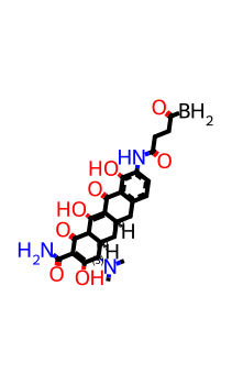 BC(=O)CCC(=O)Nc1ccc2c(c1O)C(=O)C1=C(O)C3C(=O)C(C(N)=O)=C(O)[C@@H](N(C)C)[C@@H]3C[C@@H]1C2